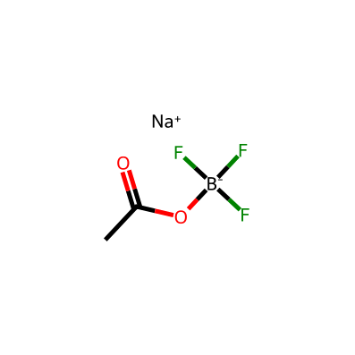 CC(=O)O[B-](F)(F)F.[Na+]